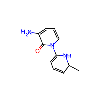 CC1C=CC=C(n2cccc(N)c2=O)N1